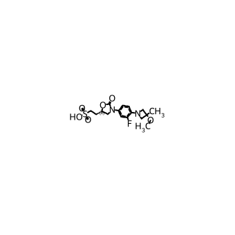 COC1(C)CN(c2ccc(N3C[C@@H](CCS(=O)(=O)O)OC3=O)cc2F)C1